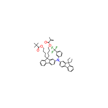 C=C(C)C(=O)OCCCCC1(CCCCOC(=O)C(C)(C)C)c2ccccc2-c2ccc(N(c3cccc(C(F)(F)F)c3)c3ccc4c(c3)C(CC)(CC)c3ccccc3-4)cc21